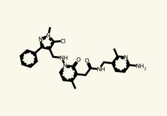 Cc1ccn(NCc2c(-c3ccccc3)nn(C)c2Cl)c(=O)c1CC(=O)NCc1ccc(N)nc1C